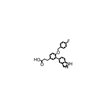 O=C(O)CCc1ccc(OCc2ccc(F)cc2)c(-c2ccc3[nH]ncc3c2)c1